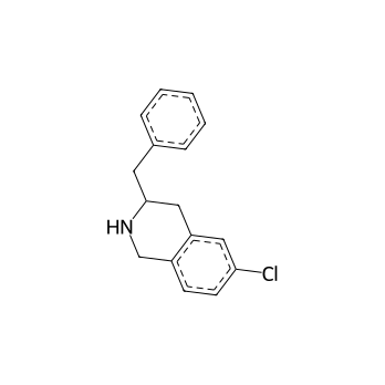 Clc1ccc2c(c1)CC(Cc1ccccc1)NC2